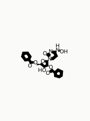 O=C(OC[C@H]1O[C@@H](n2ccc(NO)nc2=O)[C@H](OC(=O)c2ccccc2)[C@@H]1O)c1ccccc1